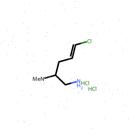 CNC(CN)CC=CCl.Cl.Cl